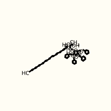 C#CC#CC#CC#CC#CC#CC#CC#CC#CC#CC#CC(=O)N[C@@H](COC1OC(COCc2ccccc2)C(OCc2ccccc2)C(OCc2ccccc2)C1OCc1ccccc1)[C@H](O)[C@@H](C)O